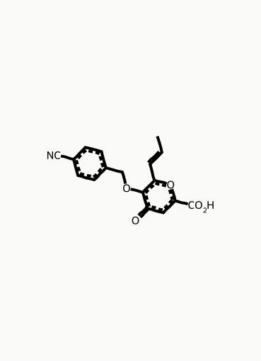 C/C=C/c1oc(C(=O)O)cc(=O)c1OCc1ccc(C#N)cc1